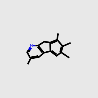 Cc1cnc2c(c1)-c1cc(C)c(C)c(C)c1C2